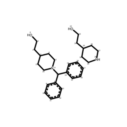 OCCC1CCN(C(c2ccccc2)c2ccccc2)CC1.OCCC1CCNCC1